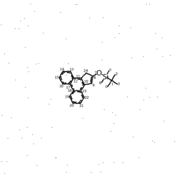 CC(C)(C)[Si](C)(C)OC1=Cc2c(c3ccccc3c3ccccc23)C1